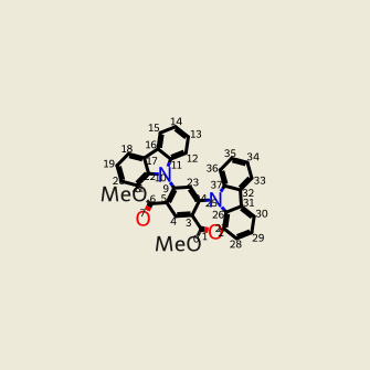 COC(=O)c1cc(C(=O)OC)c(-n2c3ccccc3c3ccccc32)cc1-n1c2ccccc2c2ccccc21